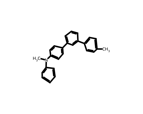 Cc1ccc(-c2cccc(-c3ccc(N(C)c4ccccc4)cc3)c2)cc1